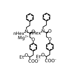 CCCCCCN(CCc1ccccc1)C(=O)COc1ccc(CC(OCC)C(=O)[O-])cc1.CCCCCCN(CCc1ccccc1)C(=O)COc1ccc(CC(OCC)C(=O)[O-])cc1.[Mg+2]